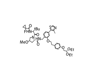 CCOC(COc1ccc(CCOc2cc(-c3scnc3C)ccc2CNC(=O)[C@@H]2C[C@@H](OC)CN2C(=O)[C@@H](NC(=O)C2(F)CC2)C(C)(C)C)cc1)OCC